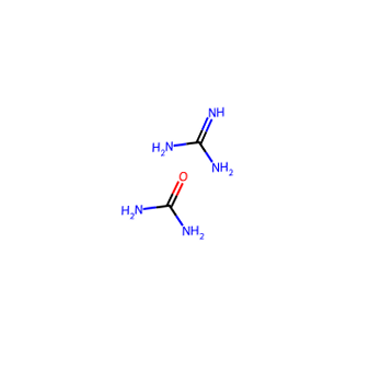 N=C(N)N.NC(N)=O